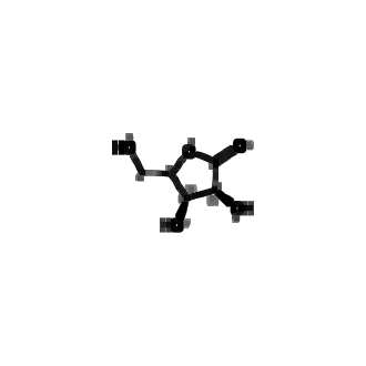 O=C1OC(CO)[C@H](O)[C@@H]1O